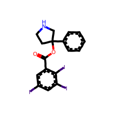 O=C(OC1(c2ccccc2)CCNC1)c1cc(I)cc(I)c1I